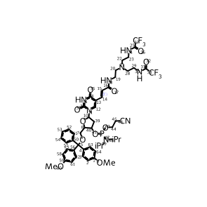 COc1ccc(C(OCC2OC(n3cc(/C=C/C(=O)NCCN(CCNC(=O)C(F)(F)F)CCNC(=O)C(F)(F)F)c(=O)[nH]c3=O)CC2OP(OCCC#N)N(C(C)C)C(C)C)(c2ccccc2)c2ccc(OC)cc2)cc1